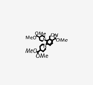 COC(=O)c1ccc(N2CCC(C(OC)OC)CC2)c(N2CCC(C(OC)OC)CC2)c1CO